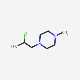 CC(Cl)CN1CCN(C)CC1